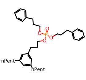 CCCCCc1cc(CCCCC)cc(CCCOP(=O)(OCCCc2ccccc2)OCCCc2ccccc2)c1